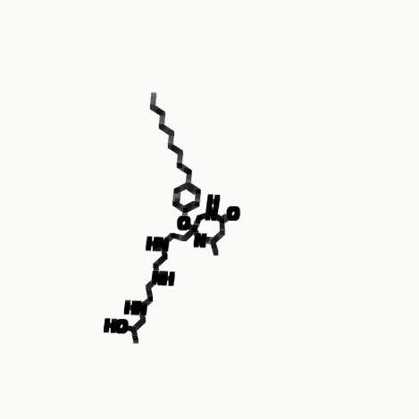 CCCCCCCCCc1ccc(OC2(CCNCCNCCNCC(C)O)CNC(=O)CC(C)=N2)cc1